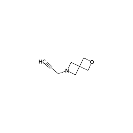 C#CCN1CC2(COC2)C1